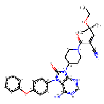 CCOC(C)(C)/C=C(/C#N)C(=O)N1CCC(n2c(=O)n(-c3ccc(Oc4ccccc4)cc3)c3c(N)ncnc32)CC1